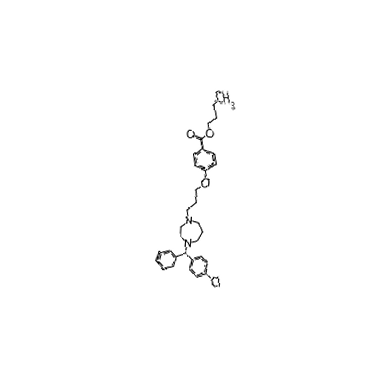 CCCCOC(=O)c1ccc(OCCCN2CCCN(C(c3ccccc3)c3ccc(Cl)cc3)CC2)cc1